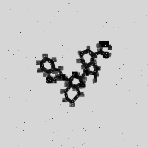 Cc1cc2c(C(N)=O)cccc2n1-c1nc2c(c(NCc3ccccc3O)n1)CCCC2